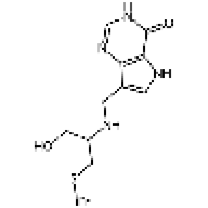 CC(C)SCC(CO)NCc1c[nH]c2c(=O)[nH]cnc12